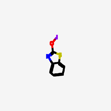 IOc1nc2ccccc2s1